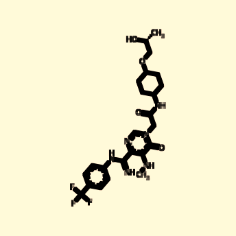 CNc1c(C(=N)Nc2ccc(C(F)(F)F)cc2)ncn(CC(=O)NC2CCC(OC[C@@H](C)O)CC2)c1=O